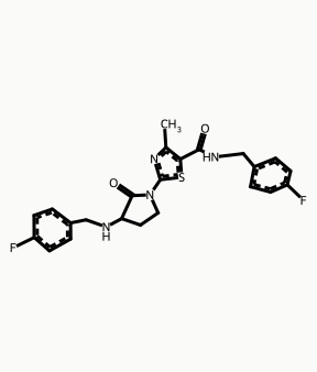 Cc1nc(N2CCC(NCc3ccc(F)cc3)C2=O)sc1C(=O)NCc1ccc(F)cc1